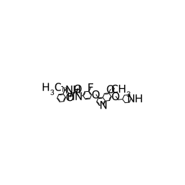 CC[C@@H](NC(=O)C(=O)Nc1ccc(Oc2ccnc3cc(OCC4CCNCC4)c(OC)cc23)c(F)c1)c1ccccc1